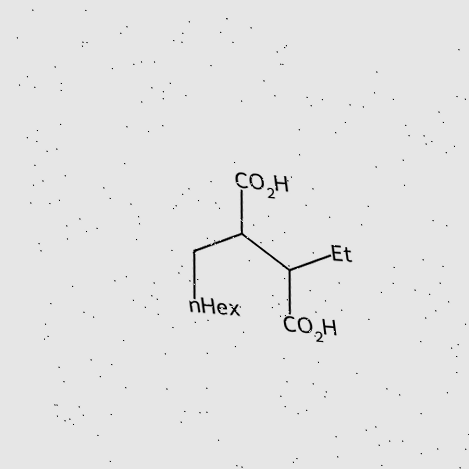 CCCCCCCC(C(=O)O)C(CC)C(=O)O